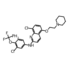 FC(F)(P)Oc1ccc(Nc2ccc3c(OCCN4CCCCC4)ccc(Cl)c3n2)cc1Cl